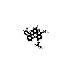 CNC(=O)c1ccc(OC[C@H](C)O)c(F)c1-c1c(Cl)c(F)cc2c1C[C@](c1ccccc1)([C@@H]1CCCN1)O2